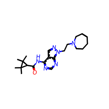 CC1(C)C(C(=O)Nc2ncnc3c2cnn3CCN2CCCCCC2)C1(C)C